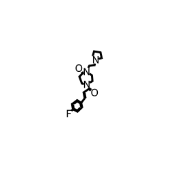 O=C(C=Cc1ccc(F)cc1)N1CCC(=O)N(CCN2CCCC2)CC1